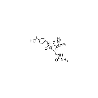 CC(O)c1ccc(NC(=O)[C@H](CCCNC(N)=O)NC(=O)[C@@H](N)C(C)C)cc1